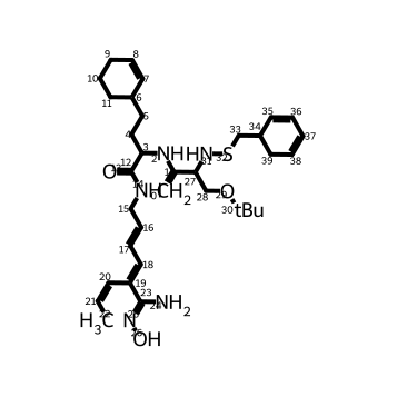 C=C(NC(CCC1C=CCCC1)C(=O)NC/C=C/C=C(\C=C/C)C(/N)=N/O)C(COC(C)(C)C)NSCC1C=CC=CC1